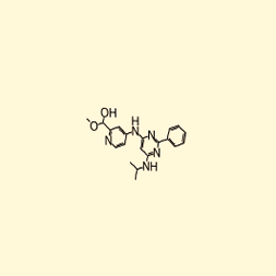 COC(O)c1cc(Nc2cc(NC(C)C)nc(-c3ccccc3)n2)ccn1